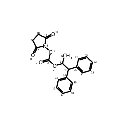 CC(OC(=O)ON1C(=O)CCC1=O)C(c1ccccc1)c1ccccc1